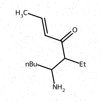 [CH2]CC(C(=O)C=CC)C(N)CCCC